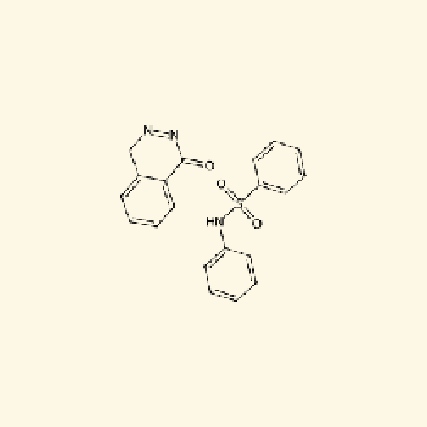 O=C1N=NCc2ccccc21.O=S(=O)(Nc1ccccc1)c1ccccc1